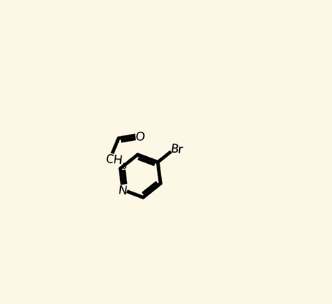 Brc1ccncc1.CC=O